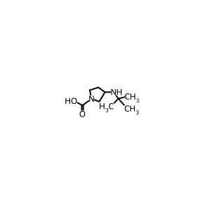 CC(C)(C)NC1CCN(C(=O)O)C1